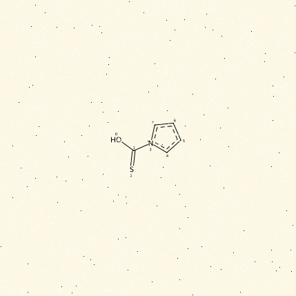 OC(=S)n1cccc1